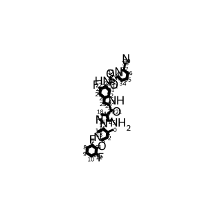 Cc1cc(Oc2c(F)cccc2F)ncc1-n1ncc(C(=O)c2cc3cc(F)c(NS(=O)(=O)c4cccc(C#N)n4)cc3[nH]2)c1N